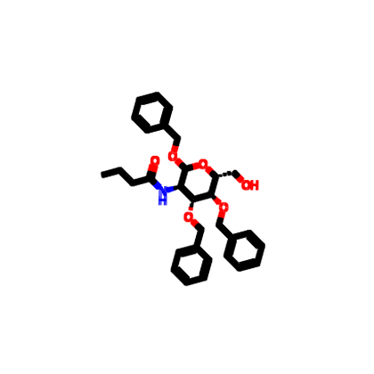 CCCC(=O)N[C@H]1C(OCc2ccccc2)O[C@H](CO)[C@@H](OCc2ccccc2)[C@@H]1OCc1ccccc1